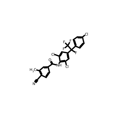 Cc1cc(C(=O)Nc2c(Cl)cc(C(F)(c3ccc(Cl)cc3)C(F)(F)F)cc2Cl)ccc1C#N